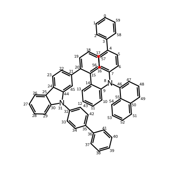 c1ccc(-c2ccc(N(c3ccccc3-c3ccccc3-c3ccc4c5ccccc5n(-c5ccc(-c6ccccc6)cc5)c4c3)c3cccc4ccccc34)cc2)cc1